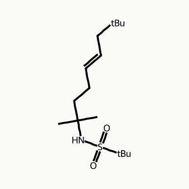 CC(C)(C)C/C=C/CCC(C)(C)NS(=O)(=O)C(C)(C)C